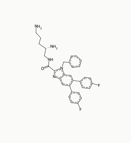 NCCC[C@H](N)CNC(=O)c1nc2cc(-c3ccc(F)cc3)c(-c3ccc(F)cc3)cc2n1Cc1ccccc1